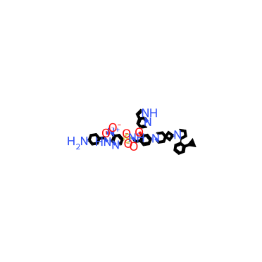 NC1CCC(CNc2ncc(S(=O)(=O)NC(=O)c3ccc(N4CCC5(CC4)CC(N4CCC[C@H]4c4ccccc4C4CC4)C5)cc3Oc3cnc4[nH]ccc4c3)cc2[N+](=O)[O-])CC1